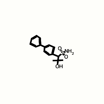 CC(C)(O)C(c1ccc(-c2ccccc2)cc1)S(N)(=O)=O